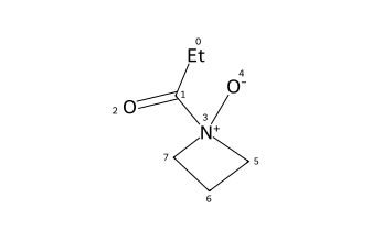 CCC(=O)[N+]1([O-])CCC1